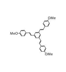 COc1ccc(C=Cc2cc(C=Cc3ccc(OC)cc3)cc(C=Cc3ccc(OC)cc3)c2)cc1